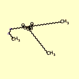 CCCC/C=C\C/C=C\CCCCCCCC(=O)OC[C@H](COC(=O)CCCCCCCCCCCCCCCCCCCC)OC(=O)CCCCCCCCCCCCCCCCCCCC